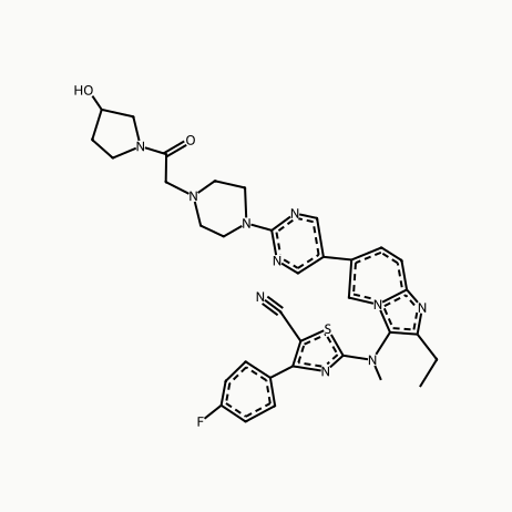 CCc1nc2ccc(-c3cnc(N4CCN(CC(=O)N5CCC(O)C5)CC4)nc3)cn2c1N(C)c1nc(-c2ccc(F)cc2)c(C#N)s1